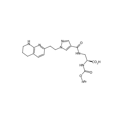 CCCOC(=O)N[C@@H](CNC(=O)c1cnn(CCc2ccc3c(n2)NCCC3)c1)C(=O)O